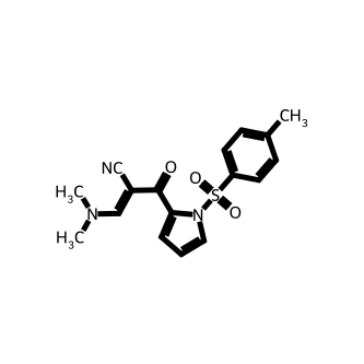 Cc1ccc(S(=O)(=O)n2cccc2C(=O)C(C#N)=CN(C)C)cc1